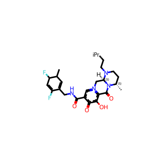 CC(C)CCN1CC[C@H](C)N2C(=O)c3c(O)c(=O)c(C(=O)NCC4=CC(C)C(F)C=C4F)cn3C[C@@H]12